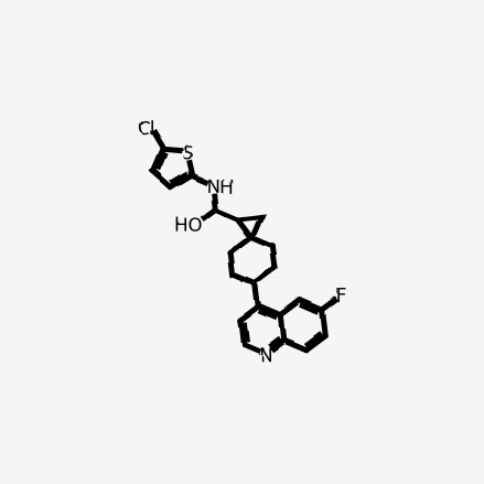 OC(Nc1ccc(Cl)s1)C1CC12CCC(c1ccnc3ccc(F)cc13)CC2